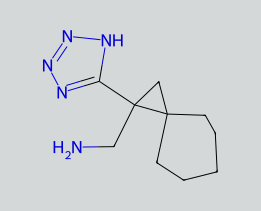 NCC1(c2nnn[nH]2)CC12CCCCC2